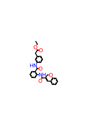 CCOC(=O)Cc1cccc(NC(=O)c2ccccc2NC(=O)C2=Cc3ccccc3OC2)c1